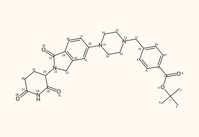 CC(C)(C)OC(=O)c1ccc(CN2CCN(c3ccc4c(c3)CN(C3CCC(=O)NC3=O)C4=O)CC2)cc1